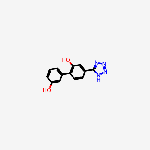 Oc1cccc(-c2ccc(-c3nnn[nH]3)cc2O)c1